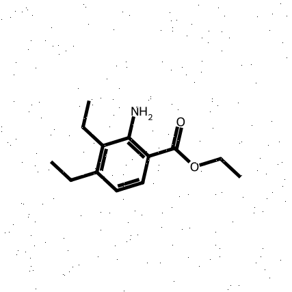 CCOC(=O)c1ccc(CC)c(CC)c1N